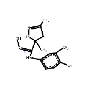 CC1(/C(=N\O)Nc2ccc(C#N)c(C(F)(F)F)c2)CC(C(F)(F)F)=NN1